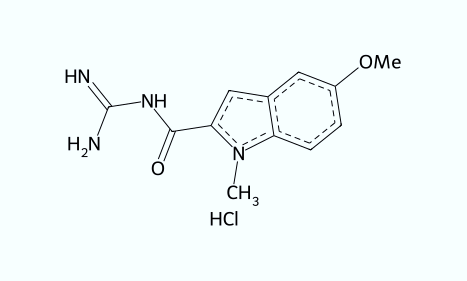 COc1ccc2c(c1)cc(C(=O)NC(=N)N)n2C.Cl